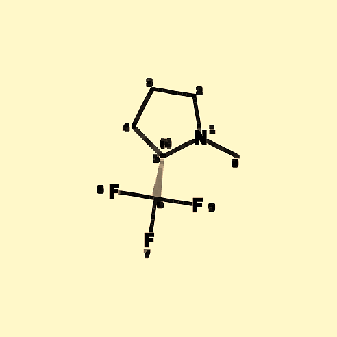 CN1CCC[C@H]1C(F)(F)F